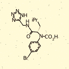 CC(C)C[C@@H](C(=O)NCc1nnn[nH]1)N(C(=O)O)c1ccc(Br)cc1